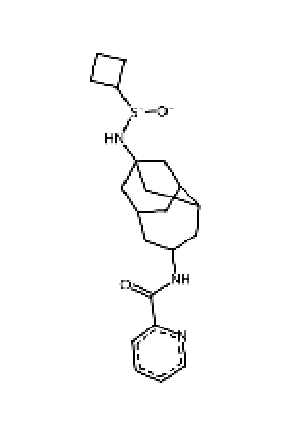 O=C(NC1CC2CC3CC(N[S+]([O-])C4CCC4)(C2)CC3C1)c1ccccn1